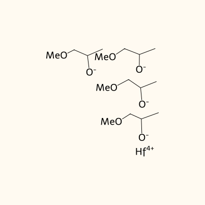 COCC(C)[O-].COCC(C)[O-].COCC(C)[O-].COCC(C)[O-].[Hf+4]